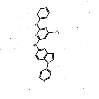 Cc1cc(Nc2ccc3c(ccn3-c3ccncc3)c2)nc(NC2=CC=CCC2)n1